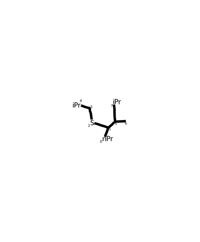 CCCC(SCC(C)C)C(C)C(C)C